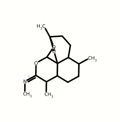 C/N=C1/OC2OC3(C)CCC4C(C)CCC(C1C)C24OO3